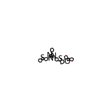 c1ccc(-c2nc(-c3ccc4c(c3)sc3ccccc34)nc(-c3ccc4c(c3)sc3c(-c5cccc6c5oc5ccccc56)cccc34)n2)cc1